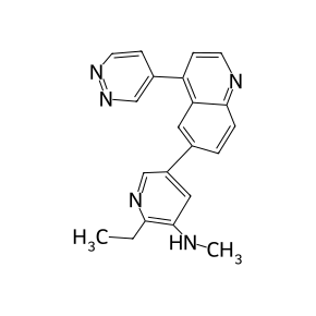 CCc1ncc(-c2ccc3nccc(-c4ccnnc4)c3c2)cc1NC